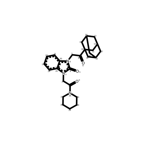 O=C(Cn1c(=O)n(CC(=O)C23CC4CC(CC(C4)C2)C3)c2ccccc21)N1CCCCC1